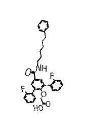 O=C(O)COc1c(-c2ccccc2F)cc(C(=O)NCCCCCCc2ccccc2)cc1-c1ccccc1F